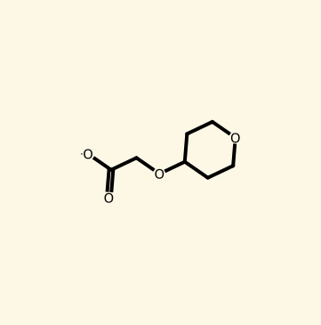 [O]C(=O)COC1CCOCC1